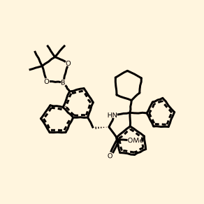 COC(=O)[C@H](Cc1ccc(B2OC(C)(C)C(C)(C)O2)c2ccccc12)NC(c1ccccc1)(c1ccccc1)C1CCCCC1